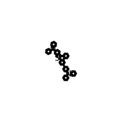 c1ccc(N(c2ccccc2)c2ccc(-c3ccc4c(c3)c3ccccc3c3c5ccc(N(c6ccccc6)c6ccccc6)cc5sc43)cc2)cc1